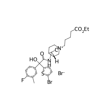 CCOC(=O)CCCC[N+]12CCC(CC1)[C@@H](NC(=O)C(O)(c1ccc(F)c(C)c1)c1ccc(Br)s1)C2.[Br-]